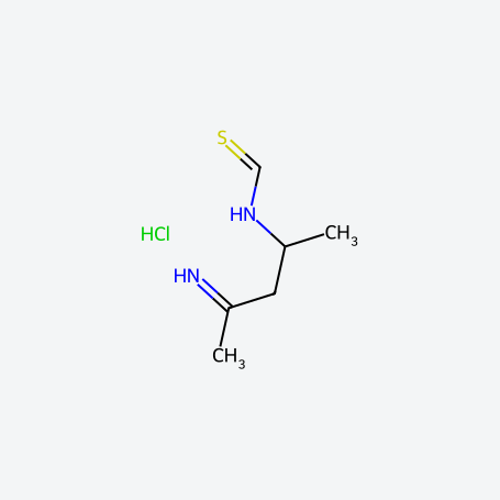 CC(=N)CC(C)NC=S.Cl